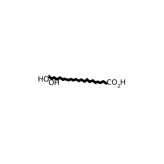 O=C(O)CCCCCCCCCCCCCCCCCCCCC(O)CO